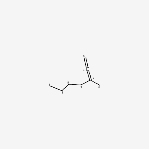 C=C=C(C)CCCC